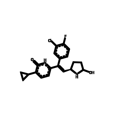 O=c1[nH]c(/C(=C/[C@H]2CCC(O)N2)c2ccc(F)c(Cl)c2)ccc1C1CC1